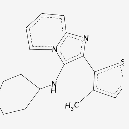 Cc1ccsc1-c1nc2ccccn2c1NC1CCCCC1